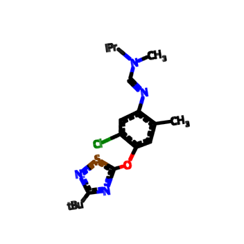 Cc1cc(Oc2nc(C(C)(C)C)ns2)c(Cl)cc1N=CN(C)C(C)C